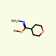 CCOC(=O)/N=C(\OCC)C1CCOCC1